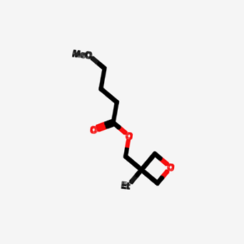 CCC1(COC(=O)CCCOC)COC1